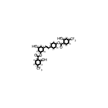 O=C(Oc1ccc(/C=C/c2cc(O)cc(OC(=O)c3ccc(C(F)(F)F)cc3O)c2)cc1)c1ccc(C(F)(F)F)cc1O